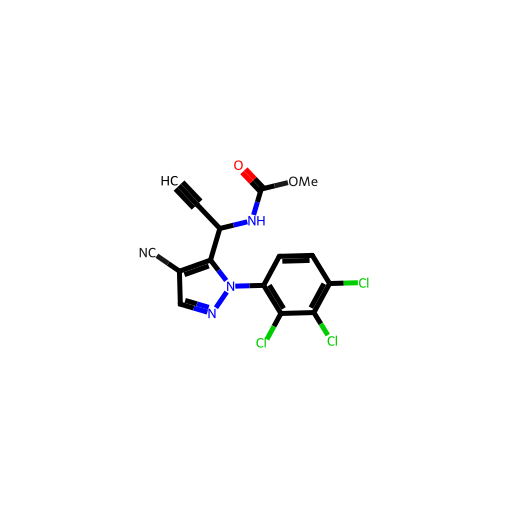 C#CC(NC(=O)OC)c1c(C#N)cnn1-c1ccc(Cl)c(Cl)c1Cl